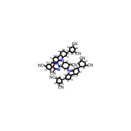 Cc1cc(C)nc(-c2cc(-n3c4cc(-c5cc(C#N)cc(C#N)c5)ccc4c4ccc(-c5cc(C#N)cc(C#N)c5)cc43)c(C#N)cc2-n2c3cc(-c4cc(C#N)cc(C#N)c4)ccc3c3ccc(-c4cc(C#N)cc(C#N)c4)cc32)n1